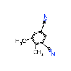 Cc1cc(C#N)cc(C#N)c1C